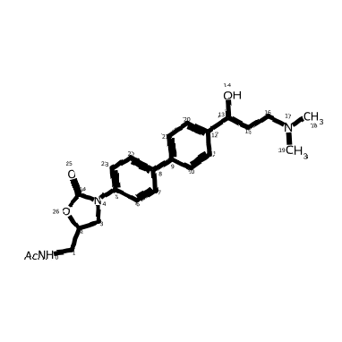 CC(=O)NCC1CN(c2ccc(-c3ccc(C(O)CCN(C)C)cc3)cc2)C(=O)O1